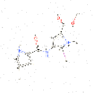 COC(=O)c1cc(NC(=O)c2cc(I)cn2C)c(I)n1C